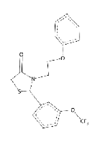 O=C1CSC(c2cccc(OC(F)(F)F)c2)N1CCOc1ccccc1